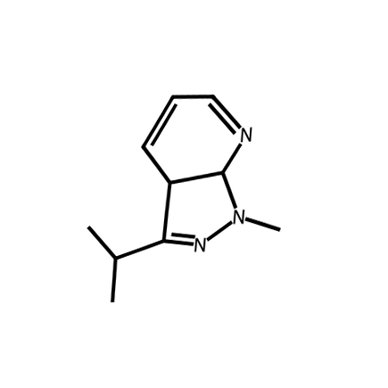 CC(C)C1=NN(C)C2N=CC=CC12